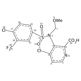 COCN(c1c(Cl)ccnc1C(=O)O)S(=O)(=O)c1ccc(Cl)c(C(F)(F)F)c1